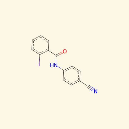 N#Cc1ccc(NC(=O)c2ccccc2I)cc1